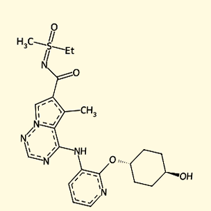 CCS(C)(=O)=NC(=O)c1cn2ncnc(Nc3cccnc3O[C@H]3CC[C@H](O)CC3)c2c1C